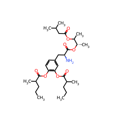 CCCC(C)C(=O)Oc1ccc(C[C@H](N)C(=O)O[C@@H](C)C(C)OC(=O)CC(C)C)cc1OC(=O)C(C)CCC